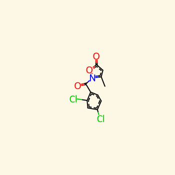 Cc1cc(=O)on1C(=O)c1ccc(Cl)cc1Cl